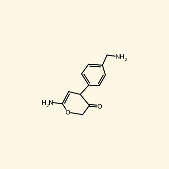 NCc1ccc(C2C=C(N)OCC2=O)cc1